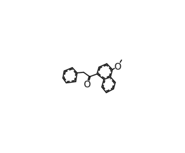 COc1ccc(C(=O)Cc2ccccc2)c2ccccc12